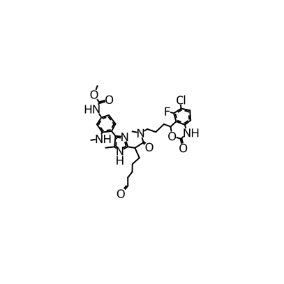 CNc1cc(NC(=O)OC)ccc1-c1nc(C(CCCCC=O)C(=O)N(C)CCCC2OC(=O)Nc3ccc(Cl)c(F)c32)[nH]c1C